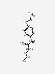 CCOc1ccc(NC(=O)NCCCl)cc1